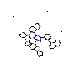 c1cc(-c2nc(-c3c(-c4cc5ccccc5c5ccccc45)ccc4ccccc34)nc(-c3cccc4c3sc3ccccc34)n2)cc(-c2cccc3ccccc23)c1